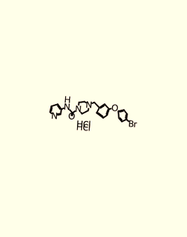 Cl.Cl.O=C(Nc1cccnc1)N1CCN(Cc2cccc(Oc3ccc(Br)cc3)c2)CC1